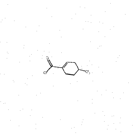 O=C(Cl)C1=CCC(C(F)(F)F)CC1